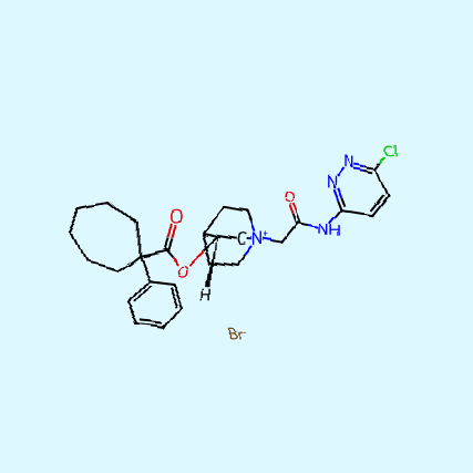 O=C(C[N+]12CCC(CC1)[C@@H](OC(=O)C1(c3ccccc3)CCCCCC1)C2)Nc1ccc(Cl)nn1.[Br-]